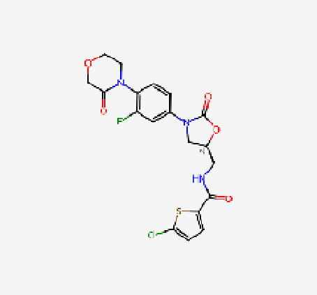 O=C(NC[C@H]1CN(c2ccc(N3CCOCC3=O)c(F)c2)C(=O)O1)c1ccc(Cl)s1